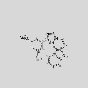 COc1cc(-c2ncn(/C=C\c3nc4ccccc4o3)n2)cc(C(F)(F)F)c1